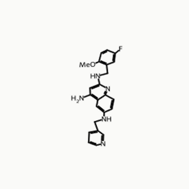 COc1ccc(F)cc1CNc1cc(N)c2cc(NCc3cccnc3)ccc2n1